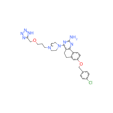 Nc1nc2c(c(N3CCN(CCCOCc4nnn[nH]4)CC3)n1)CCc1cc(OCc3ccc(Cl)cc3)ccc1-2